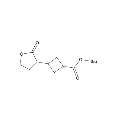 CC(C)(C)OC(=O)N1CC(C2CCOC2=O)C1